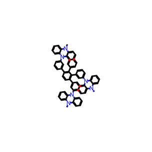 CN1c2ccccc2N(c2cccc(-c3ccc(-c4cccc(N5c6ccccc6N(C)c6ccccc65)c4)c(-c4cccc(N5c6ccccc6N(C)c6ccccc65)c4)c3-c3ccccc3)c2)c2ccccc21